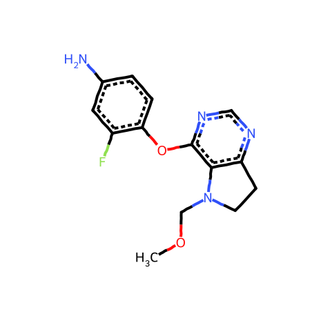 COCN1CCc2ncnc(Oc3ccc(N)cc3F)c21